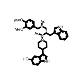 COc1ccc(CN(C[C@@H](Cc2c[nH]c3ccccc23)N(C(C)=O)N2CCC(c3c[nH]c4ccc(O)cc34)CC2)C(C)=O)cc1OC